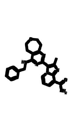 Cc1nc2c(C(N)=O)cccn2c1-c1nc2c(c(NCc3ccccc3)n1)CCOCC2